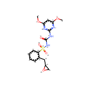 COc1cc(OC)nc(NC(=O)NS(=O)(=O)c2ccccc2CC2CO2)n1